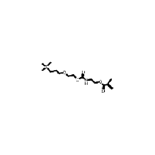 C=C(C)C(=O)OCCNC(=O)OCCOCCCS(C)(C)C